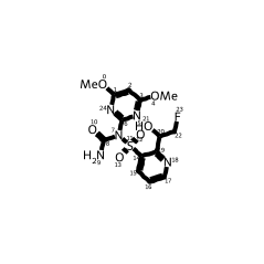 COc1cc(OC)nc(N(C(N)=O)S(=O)(=O)c2cccnc2C(O)CF)n1